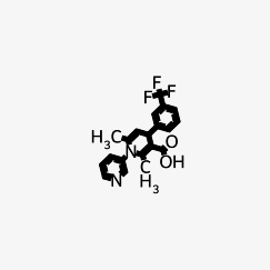 CC1=CC(c2cccc(C(F)(F)F)c2)C(C(=O)O)=C(C)N1c1cccnc1